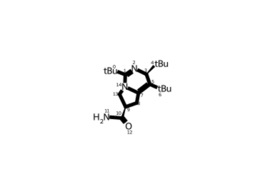 CC(C)(C)C1=N[C@@H](C(C)(C)C)C(C(C)(C)C)=C2C[C@@H](C(N)=O)CN12